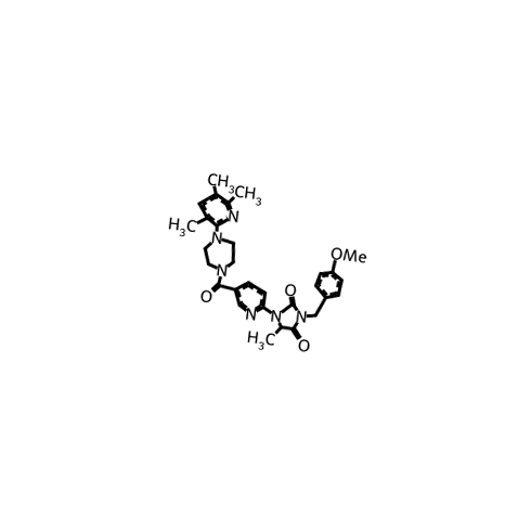 COc1ccc(CN2C(=O)C(C)N(c3ccc(C(=O)N4CCN(c5nc(C)c(C)cc5C)CC4)cn3)C2=O)cc1